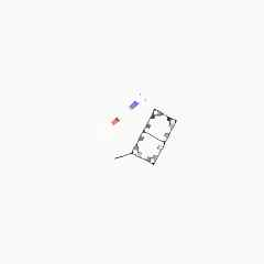 Cc1cc2ccc1-2.N=C=O